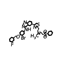 CN(CCc1nc(-c2ccc3ncnc(Nc4ccc(OCc5cccc(F)c5)c(Br)c4)c3c2)cs1)CCS(=O)(=O)c1ccccc1